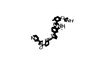 Cc1ccc(OC2CNC2)cc1C(=O)N[C@H](C)c1cccc(-c2ccc(CN[C@H]3CC[C@@H](C(=O)N4CC(c5cccnc5)C4)C3)s2)c1